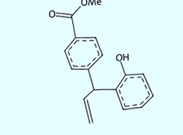 C=CC(c1ccc(C(=O)OC)cc1)c1ccccc1O